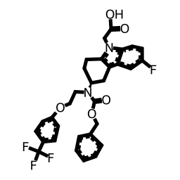 O=C(O)Cn1c2c(c3cc(F)ccc31)C[C@@H](N(CCOc1ccc(C(F)(F)F)cc1)C(=O)OCc1ccccc1)CC2